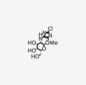 CO[C@H]1O[C@H](CO)[C@H](O)[C@H](O)[C@@H]1Nc1nc(Cl)ns1